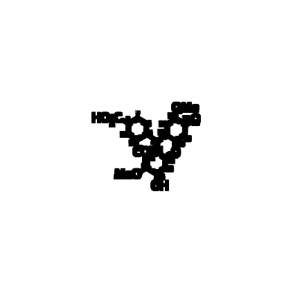 COc1cc2c(-c3ccc(C(=O)O)cc3C(=O)O)c3cc(OC)c(=O)cc-3oc2cc1O